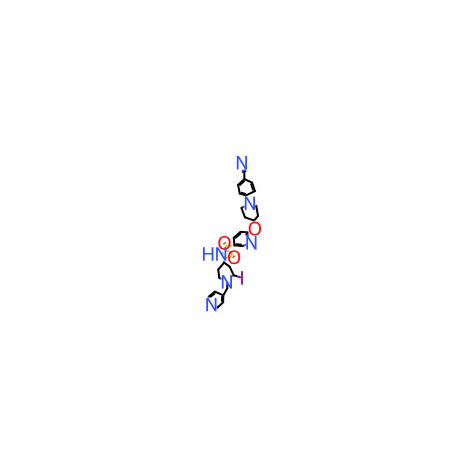 N#Cc1ccc(N2CCC(Oc3ccc(S(=O)(=O)NC4CCN(Cc5ccncc5)C(I)C4)cn3)CC2)cc1